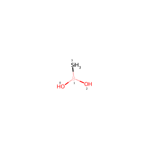 OB(O)[SiH3]